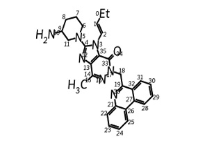 CCC=Cn1c(N2CCCC(N)C2)nc2c(C)nn(Cc3nc4ccccc4c4ccccc34)c(=O)c21